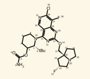 CC(C)(C)[C@@H]1C(OC(N)=O)CCCN1c1nc(OC[C@@]23CCCN2C[C@H](F)C3)nc2c(F)c(Cl)ncc12